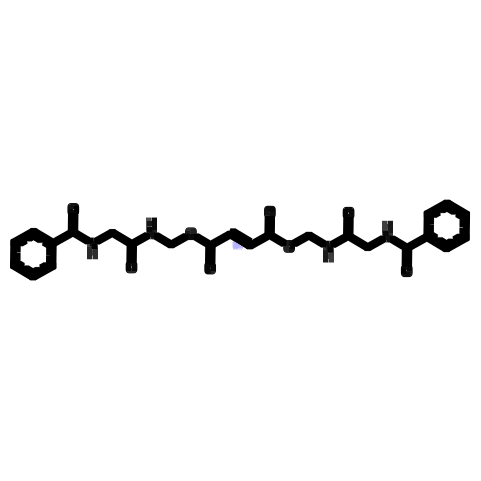 O=C(CNC(=O)c1ccccc1)NCOC(=O)/C=C/C(=O)OCNC(=O)CNC(=O)c1ccccc1